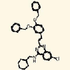 Clc1ccc2c(NCC3CCCCC3)nc(C=Cc3ccc(OCc4ccccc4)c(OCc4ccccc4)c3)nc2c1